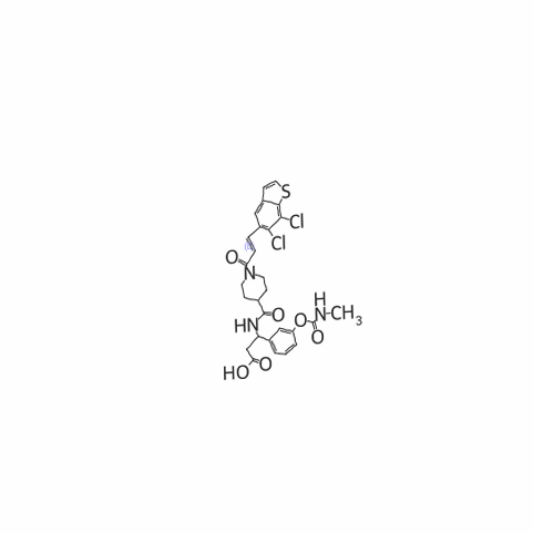 CNC(=O)Oc1cccc(C(CC(=O)O)NC(=O)C2CCN(C(=O)/C=C/c3cc4ccsc4c(Cl)c3Cl)CC2)c1